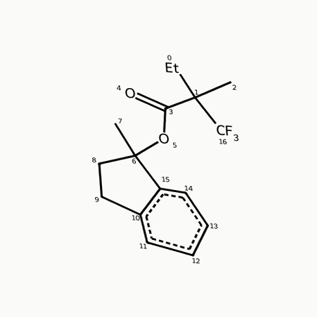 CCC(C)(C(=O)OC1(C)CCc2ccccc21)C(F)(F)F